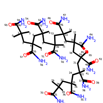 CC(C)(CC(C)(CC(C)(CC(C)(CC(C)(CC(C)(CC(C)(CC(C)(CC(C)(CC(C)(C)C(N)=O)C(N)=O)C(N)=O)C(N)=O)C(N)=O)C(N)=O)C(N)=O)C(N)=O)C(N)=O)C(N)=O